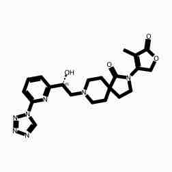 CC1=C(N2CCC3(CCN(C[C@@H](O)c4cccc(-n5cnnn5)n4)CC3)C2=O)COC1=O